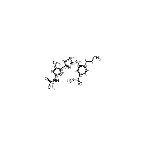 CCCc1ccc(C(N)=O)cc1Nc1nc(-c2sc(NC(C)=O)nc2C)cs1